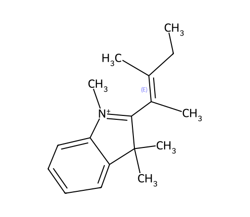 CC/C(C)=C(\C)C1=[N+](C)c2ccccc2C1(C)C